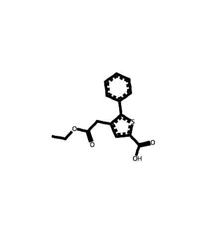 CCOC(=O)Cc1cc(C(=O)O)sc1-c1ccccc1